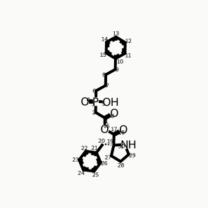 O=C(CP(=O)(O)CCCCc1ccccc1)OC(=O)[C@]1(Cc2ccccc2)CCCN1